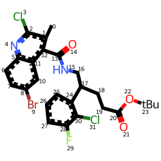 Cc1c(Cl)nc2ccc(Br)cc2c1C(=O)NCC(CCC(=O)OC(C)(C)C)c1cccc(F)c1Cl